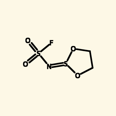 O=S(=O)(F)N=S1OCCO1